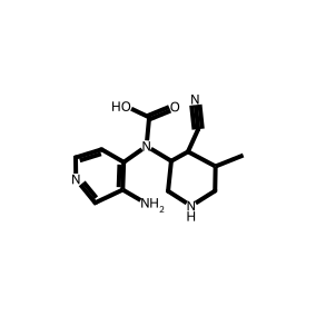 CC1CNCC(N(C(=O)O)c2ccncc2N)C1C#N